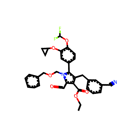 CCOC(=O)c1c(Cc2cccc(C#N)c2)c(-c2ccc(OC(F)F)c(OC3CC3)c2)n(COCc2ccccc2)c1C=O